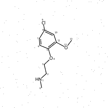 CNCCOc1ccc(Cl)cc1OC